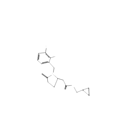 O=C(CC1CCC(=O)N1Cc1cccc(F)c1F)OCC1CC1